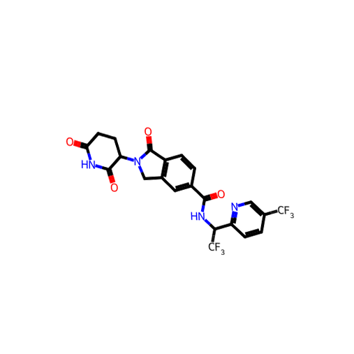 O=C1CCC(N2Cc3cc(C(=O)NC(c4ccc(C(F)(F)F)cn4)C(F)(F)F)ccc3C2=O)C(=O)N1